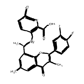 Cc1cc([C@@H](C)Nc2ccc(Cl)nc2C(=O)O)c2oc(-c3ccc(F)c(F)c3)c(C)c(=O)c2c1